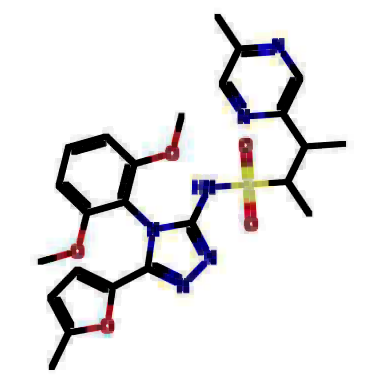 COc1cccc(OC)c1-n1c(NS(=O)(=O)C(C)C(C)c2cnc(C)cn2)nnc1-c1ccc(C)o1